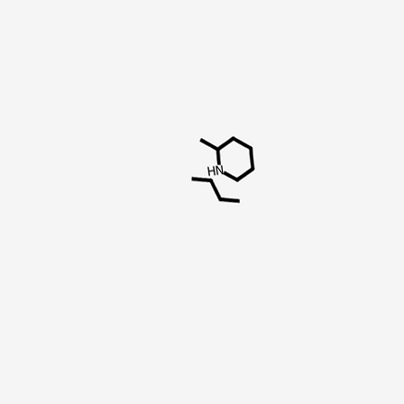 CC1CCCCN1.CCCC